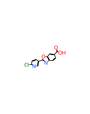 O=C(O)c1ccc2nc(-c3ccc(Cl)nc3)oc2c1